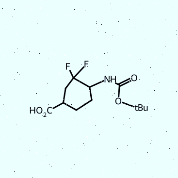 CC(C)(C)OC(=O)NC1CCC(C(=O)O)CC1(F)F